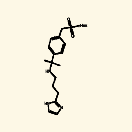 CCCCCCS(=O)(=O)Cc1ccc(C(C)(C)NCCCc2ncc[nH]2)cc1